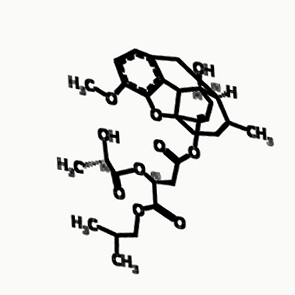 COc1ccc2c3c1OC14CCC(C)[C@H](C2)[C@](O)(CC=C1OC(=O)C[C@H](OC(=O)[C@H](C)O)C(=O)OCC(C)C)C34